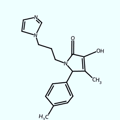 CC1=C(O)C(=O)N(CCCn2ccnc2)C1c1ccc(C)cc1